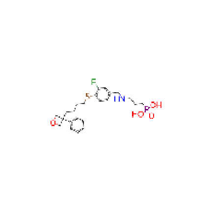 O=P(O)(O)CCCNCc1ccc(SCCCCC2(c3ccccc3)COC2)c(F)c1